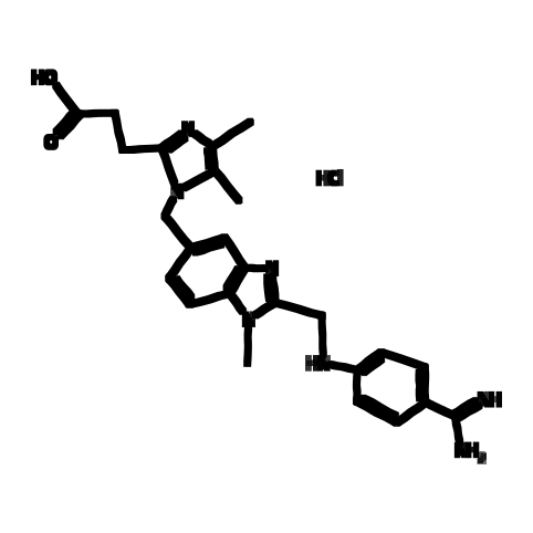 Cc1nc(CCC(=O)O)n(Cc2ccc3c(c2)nc(CNc2ccc(C(=N)N)cc2)n3C)c1C.Cl